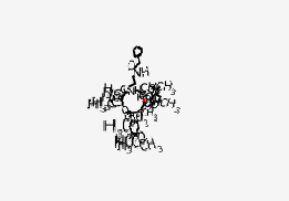 CC[C@H]1OC(=O)[C@H](C)[C@@H](O[C@H]2C[C@@](C)(OC)[C@@H](O)[C@H](C)O2)[C@H](C)[C@@H](O[C@@H]2O[C@H](C)C[C@H](N(C)C)[C@H]2O)[C@](C)(O)C[C@@H](C)CN(CCCNC(=O)Cc2ccccc2)[C@H](C)[C@@H](O)[C@]1(C)O